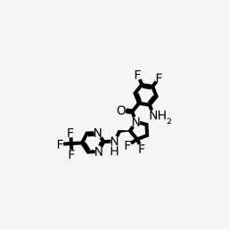 Nc1cc(F)c(F)cc1C(=O)N1CCC(F)(F)[C@H]1CNc1ncc(C(F)(F)F)cn1